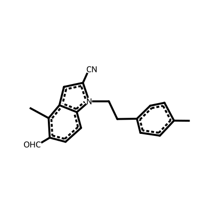 Cc1ccc(CCn2c(C#N)cc3c(C)c(C=O)ccc32)cc1